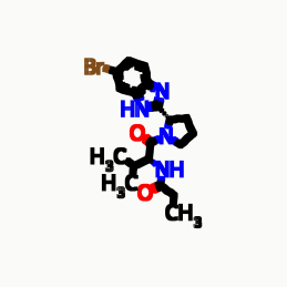 CCC(=O)N[C@H](C(=O)N1CCC[C@H]1c1nc2ccc(Br)cc2[nH]1)C(C)C